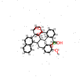 COc1ccc(CC2c3c(ccc4ccccc34)C3=C(CCC=C3)C2Cc2c(C(=O)O)cccc2C(=O)O)cc1Br